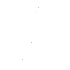 CC[C@H]1CCOC[C@H](NC(=O)c2nccc(OC)c2O)C(=O)O[C@@H](C)[C@@H]1OC(=O)c1ccccc1